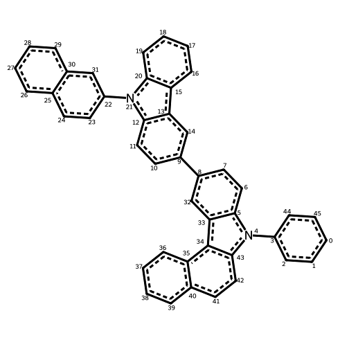 c1ccc(-n2c3ccc(-c4ccc5c(c4)c4ccccc4n5-c4ccc5ccccc5c4)cc3c3c4ccccc4ccc32)cc1